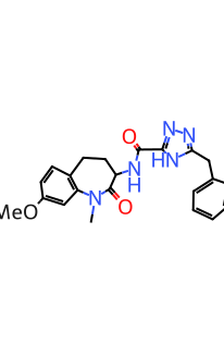 COc1ccc2c(c1)N(C)C(=O)C(NC(=O)c1nnc(Cc3ccccc3)[nH]1)CC2